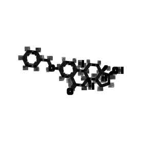 C[C@]12CC[C@@H]3c4ccc(OCc5ccccc5)cc4C(=O)C[C@H]3[C@@H]1CC[C@@H]2O